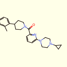 Cc1ccccc1C1CCN(C(=O)c2cccc(N3CCN(C4CC4)CC3)n2)CC1